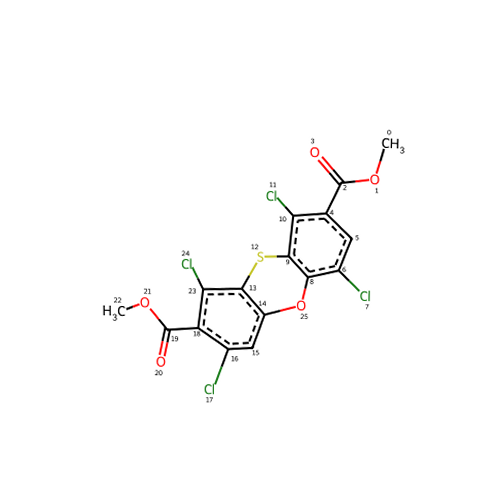 COC(=O)c1cc(Cl)c2c(c1Cl)Sc1c(cc(Cl)c(C(=O)OC)c1Cl)O2